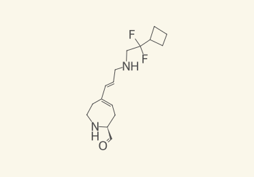 O=C[C@@H]1CC=C(/C=C/CNCC(F)(F)C2CCC2)CCN1